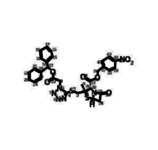 C[C@]1(CSc2nnnn2CC(=O)OC(c2ccccc2)c2ccccc2)S[C@@H]2CC(=O)N2[C@H]1C(=O)OCc1ccc([N+](=O)[O-])cc1